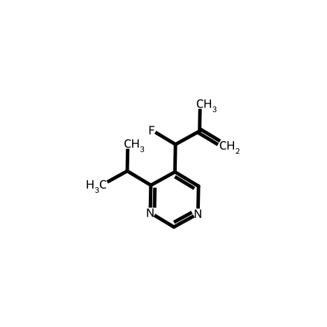 C=C(C)C(F)c1cncnc1C(C)C